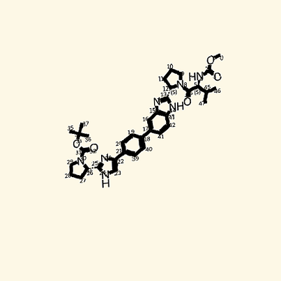 COC(=O)N[C@H](C(=O)N1CCC[C@H]1c1nc2cc(-c3ccc(-c4c[nH]c([C@@H]5CCCN5C(=O)OC(C)(C)C)n4)cc3)ccc2[nH]1)C(C)C